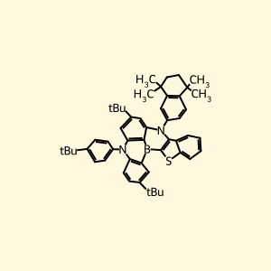 CC(C)(C)c1ccc(N2c3ccc(C(C)(C)C)cc3B3c4sc5ccccc5c4N(c4ccc5c(c4)C(C)(C)CCC5(C)C)c4cc(C(C)(C)C)cc2c43)cc1